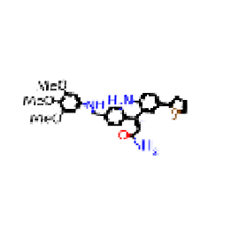 COc1cc(NCc2ccc(/C(=C\C(N)=O)c3cc(-c4cccs4)ccc3N)cc2)cc(OC)c1OC